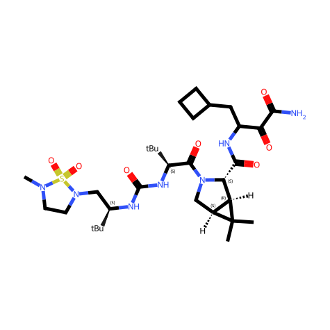 CN1CCN(C[C@@H](NC(=O)N[C@H](C(=O)N2C[C@H]3[C@@H]([C@H]2C(=O)NC(CC2CCC2)C(=O)C(N)=O)C3(C)C)C(C)(C)C)C(C)(C)C)S1(=O)=O